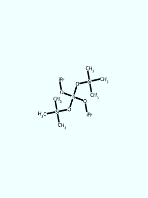 CC(C)[O][Ti]([O]C(C)C)([O][Si](C)(C)C)[O][Si](C)(C)C